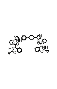 O=C(N[C@@H](C(=O)N1CCC[C@H]1c1ncc(-c2ccc(C3CCC(c4cnc([C@@H]5CCCN5C(=O)[C@H](NC(=O)C5CC5)c5ccccc5)[nH]4)CC3)cc2)[nH]1)c1ccccc1)C1CC1